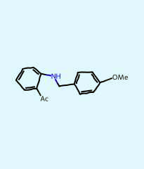 COc1ccc(CNc2ccccc2C(C)=O)cc1